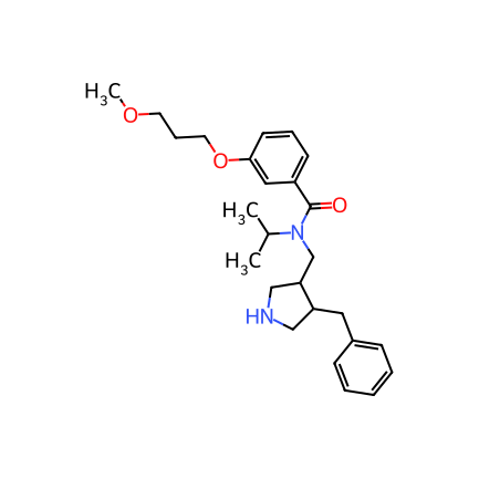 COCCCOc1cccc(C(=O)N(CC2CNCC2Cc2ccccc2)C(C)C)c1